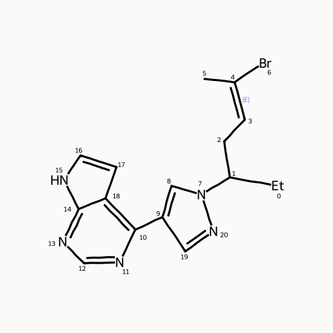 CCC(C/C=C(\C)Br)n1cc(-c2ncnc3[nH]ccc23)cn1